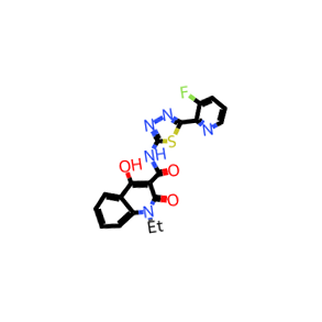 CCn1c(=O)c(C(=O)Nc2nnc(-c3ncccc3F)s2)c(O)c2ccccc21